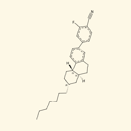 CCCCCCC[C@@H]1CC[C@@H]2c3ccc(-c4ccc(C#N)c(F)c4)cc3CC[C@H]2C1